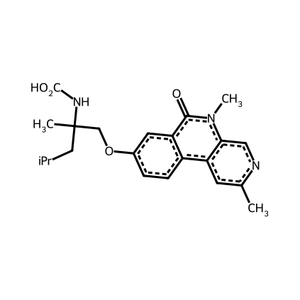 Cc1cc2c3ccc(OCC(C)(CC(C)C)NC(=O)O)cc3c(=O)n(C)c2cn1